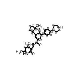 Cc1cc(C)c(CNC(=O)c2cc(-c3ccc(N4CCNCC4)cc3)c3c(c2)[C@@H]2CCC[C@]2(C)O3)c(=O)[nH]1